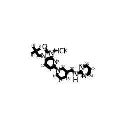 Cl.Cn1c(=O)n(CC(C)(C)C)c2ccc(N3CCCC(CNc4ncccn4)C3)nc21